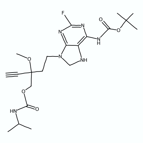 C#CC(CCN1CNc2c(NC(=O)OC(C)(C)C)nc(F)nc21)(COC(=O)NC(C)C)OC